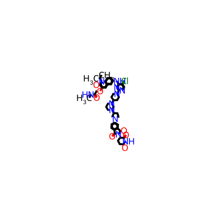 CNC(=O)COc1cc2cc(Nc3nc(N4CCC(N5CCCN(C6CCN(c7ccc8c(c7)C(=O)N(C7CCC(=O)NC7=O)C8=O)C6)C5)CC4)ncc3Cl)ccc2n(C(C)C)c1=O